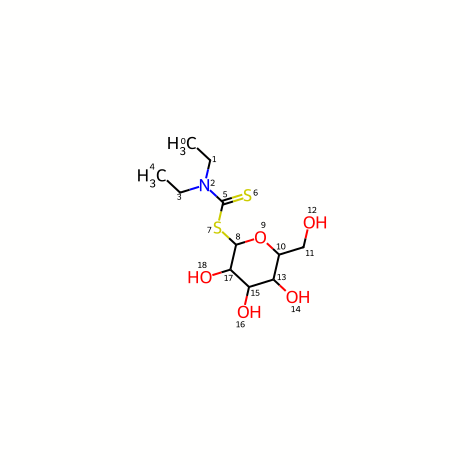 CCN(CC)C(=S)SC1OC(CO)C(O)C(O)C1O